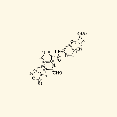 COC1CCC1Oc1cc(NC(=O)N2CCCc3cc(CN4C(=O)OCC4C)c(C=O)nc32)ncc1C#N